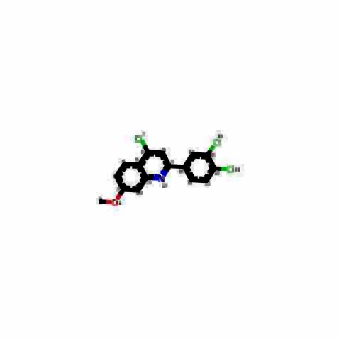 COc1ccc2c(Cl)cc(-c3ccc(Cl)c(Cl)c3)nc2c1